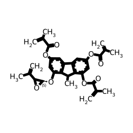 C=C(C)C(=O)Oc1cc(OC(=O)C(=C)C)c2c(c1)-c1cc(OC(=O)C(=C)C)cc(O[C@@H]3OC3C(=C)C)c1C2C